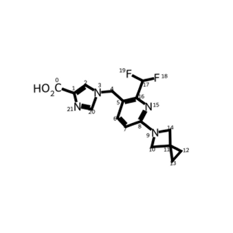 O=C(O)c1cn(Cc2ccc(N3CC4(CC4)C3)nc2C(F)F)cn1